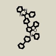 c1ccc(-c2ccc(N(c3ccccc3)c3ccc(-c4ccc(-c5nc6ccccc6nc5-c5ccccc5)cc4)c4c3oc3ccccc34)cc2)cc1